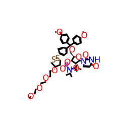 COCCOCCOCCO[C@@H]1CSSC[C@H]1OP(O[C@@H]1[C@@H](COC(c2ccccc2)(c2ccc(OC)cc2)c2ccc(OC)cc2)OC(n2ccc(=O)[nH]c2=O)[C@@H]1OC)N(C(C)C)C(C)C